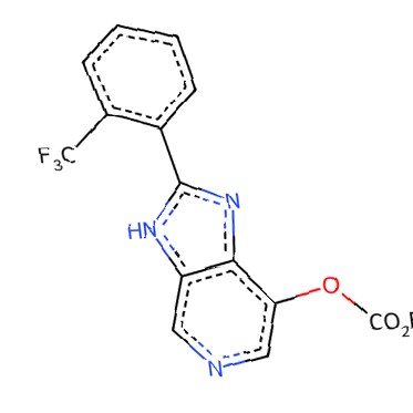 CCOC(=O)Oc1cncc2[nH]c(-c3ccccc3C(F)(F)F)nc12